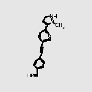 CN1NCC=C1c1ccc(C#Cc2ccc(C=P)cc2)cn1